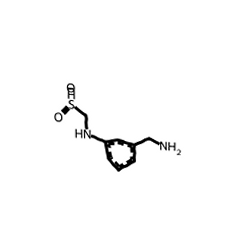 NCc1cccc(NC[SH](=O)=O)c1